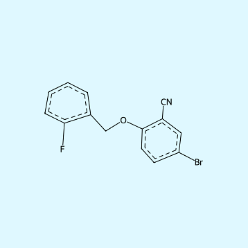 N#Cc1cc(Br)ccc1OCc1ccccc1F